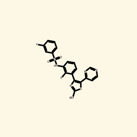 CC(C)(C)c1nc(-c2cccc(NS(=O)(=O)c3cccc(F)c3)c2F)c(-c2ccncn2)s1